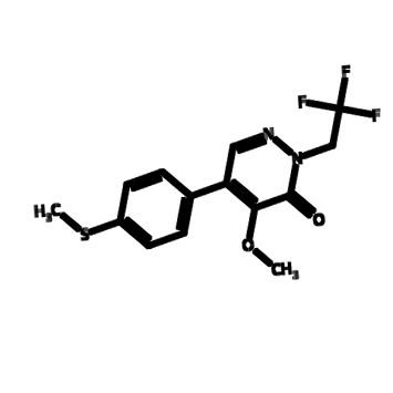 COc1c(-c2ccc(SC)cc2)cnn(CC(F)(F)F)c1=O